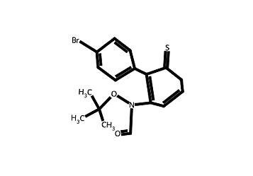 CC(C)(C)ON(C=O)C1=C(c2ccc(Br)cc2)C(=S)CC=C1